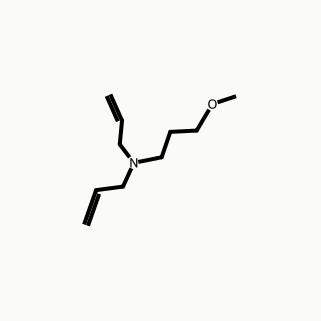 C=CCN(CC=C)CCCOC